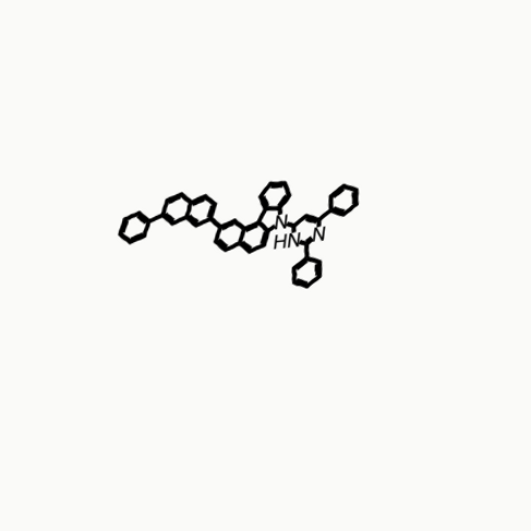 C1=C(c2ccccc2)N=C(c2ccccc2)NC1n1c2ccccc2c2c3cc(-c4ccc5ccc(-c6ccccc6)cc5c4)ccc3ccc21